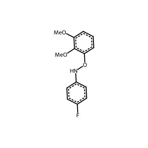 COc1cccc(ONc2ccc(F)cc2)c1OC